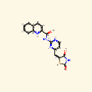 O=C1NC(=O)/C(=C\c2ccnc(NC(=O)c3ccc4ccccc4n3)n2)S1